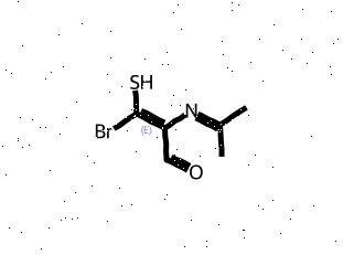 CC(C)=N/C(C=O)=C(\S)Br